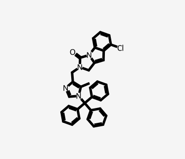 Cc1c(CN2Cc3cc4c(Cl)cccc4n3C2=O)ncn1C(c1ccccc1)(c1ccccc1)c1ccccc1